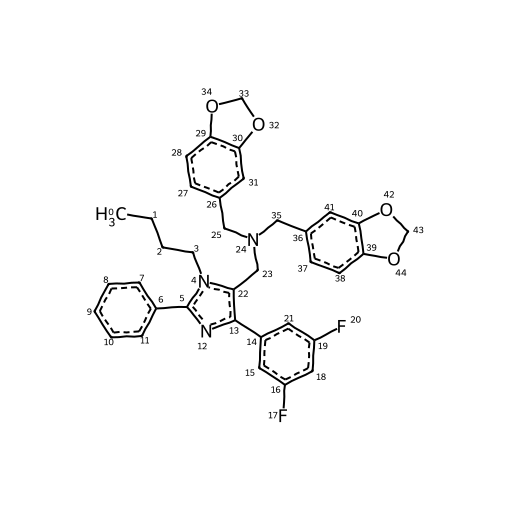 CCCCn1c(-c2ccccc2)nc(-c2cc(F)cc(F)c2)c1CN(Cc1ccc2c(c1)OCO2)Cc1ccc2c(c1)OCO2